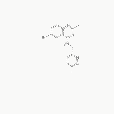 Cc1ccc(CNc2nc(C)nc3ccc(Br)cc23)nn1